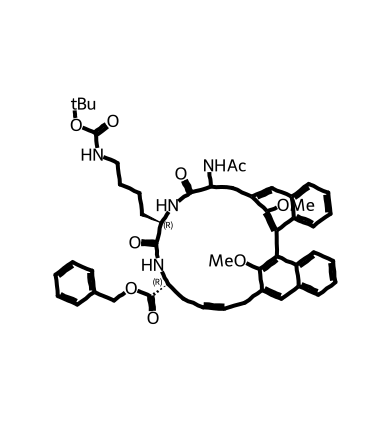 COc1c2cc3ccccc3c1-c1c(OC)c(cc3ccccc13)CC(NC(C)=O)C(=O)N[C@H](CCCCNC(=O)OC(C)(C)C)C(=O)N[C@@H](C(=O)OCc1ccccc1)CC=CC2